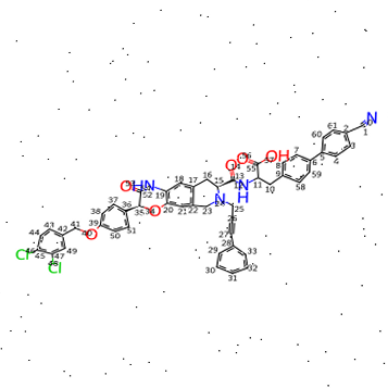 N#Cc1ccc(-c2ccc(CC(NC(=O)[C@@H]3Cc4cc5c(cc4CN3CC#Cc3ccccc3)O[C@@H](c3ccc(OCc4ccc(Cl)c(Cl)c4)cc3)C(=O)N5)C(=O)O)cc2)cc1